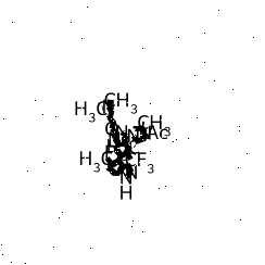 CC(=O)N1C[C@H](C)N(c2nc(OCCCN(C)C)nc3c(F)c(-c4c(C)ccc5[nH]ncc45)c(C(F)(F)F)cc23)C[C@H]1C